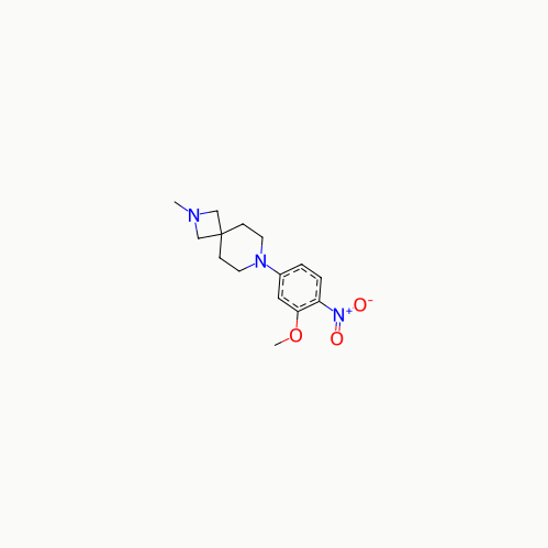 COc1cc(N2CCC3(CC2)CN(C)C3)ccc1[N+](=O)[O-]